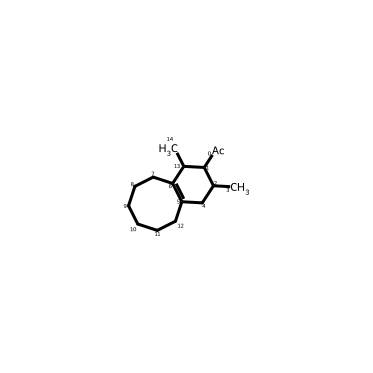 CC(=O)C1C(C)CC2=C(CCCCCC2)C1C